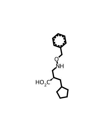 O=C(O)[C@@H](CNOCc1ccccc1)CC1CCCC1